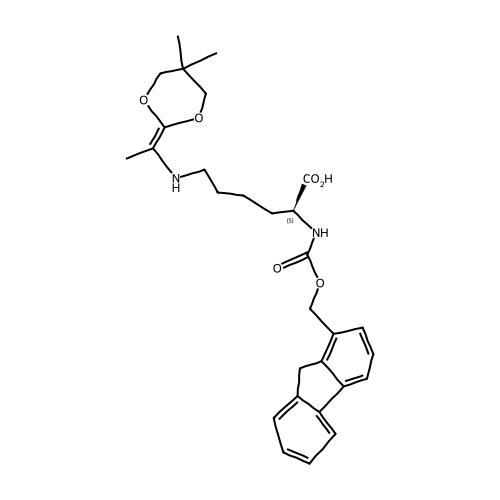 CC(NCCCC[C@H](NC(=O)OCc1cccc2c1Cc1ccccc1-2)C(=O)O)=C1OCC(C)(C)CO1